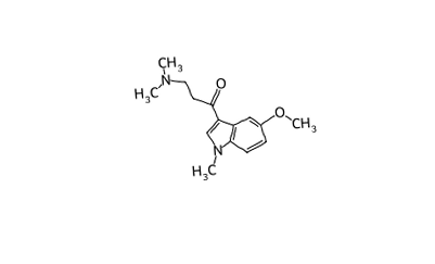 COc1ccc2c(c1)c(C(=O)CCN(C)C)cn2C